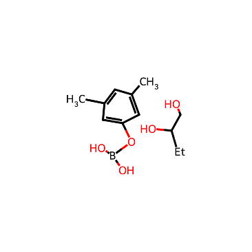 CCC(O)CO.Cc1cc(C)cc(OB(O)O)c1